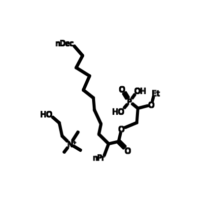 CCCCCCCCCCCCCCCCCCC(CCC)C(=O)OCC(OCC)P(=O)(O)O.C[N+](C)(C)CCO